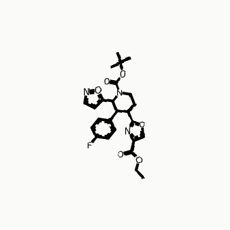 CCOC(=O)c1coc(C2CCN(C(=O)OC(C)(C)C)C(c3ccno3)C2c2ccc(F)cc2)n1